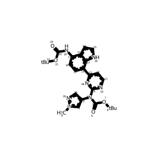 Cn1cc(N(C(=O)OC(C)(C)C)c2nccc(-c3ccc(NC(=O)OC(C)(C)C)c4cc[nH]c34)n2)cn1